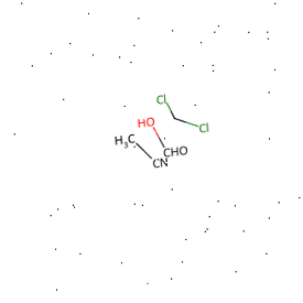 CC#N.ClCCl.O=CO